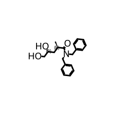 C[C@H](C[C@@H](O)CO)C(=O)N(Cc1ccccc1)Cc1ccccc1